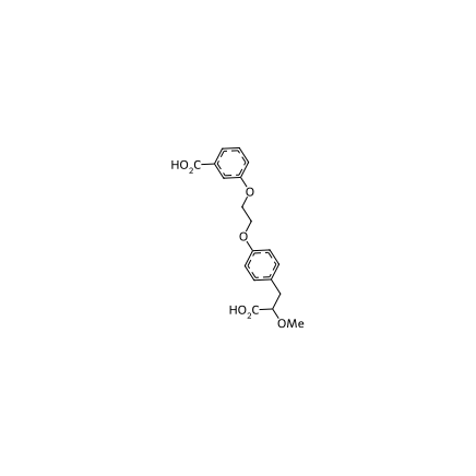 COC(Cc1ccc(OCCOc2cccc(C(=O)O)c2)cc1)C(=O)O